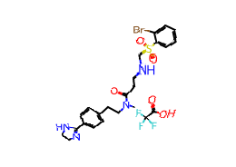 CN(CCc1ccc(C2=NCCN2)cc1)C(=O)CCNCS(=O)(=O)c1ccccc1Br.O=C(O)C(F)(F)F